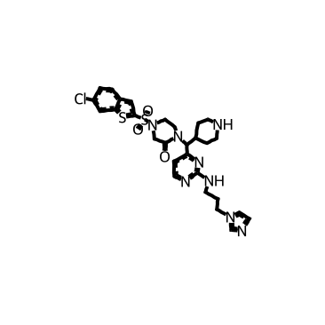 O=C1CN(S(=O)(=O)c2cc3ccc(Cl)cc3s2)CCN1C(c1ccnc(NCCCn2ccnc2)n1)C1CCNCC1